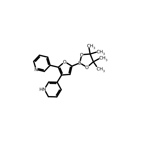 CC1(C)OB(c2cc(C3=CNCC=C3)c(-c3cccnc3)o2)OC1(C)C